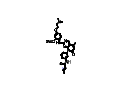 C/C=C/C(=O)Nc1cccc(-n2c(=O)cc(C)c3cnc(Nc4ccc(OCCN(C)C)cc4OC)nc32)c1